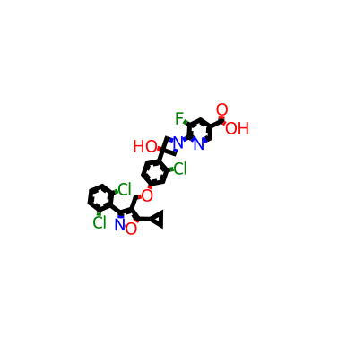 O=C(O)c1cnc(N2CC(O)(c3ccc(OCc4c(-c5c(Cl)cccc5Cl)noc4C4CC4)cc3Cl)C2)c(F)c1